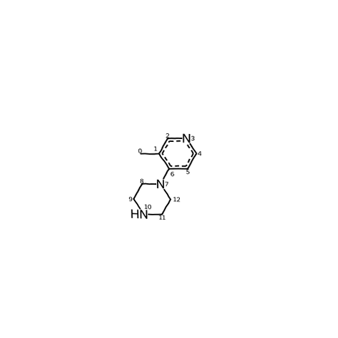 Cc1cnccc1N1CCNCC1